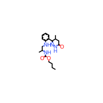 CCCCOC(=O)NC(C)CNc1ccccc1C1=NNC(=O)CC1C